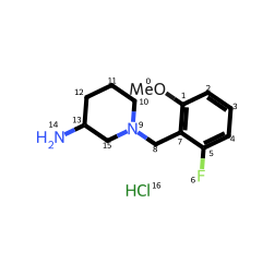 COc1cccc(F)c1CN1CCCC(N)C1.Cl